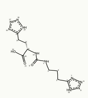 O=C(NCCCc1nnn[nH]1)N[C@@H](CCc1nnn[nH]1)C(=O)O